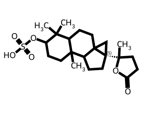 CC1(C)C(OS(=O)(=O)O)CCC2(C)C1CCC13C[C@@]1(C1(C)CCC(=O)O1)CCC23